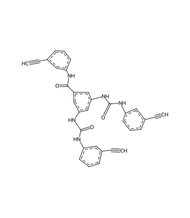 C#Cc1cccc(NC(=O)Nc2cc(NC(=O)Nc3cccc(C#C)c3)cc(C(=O)Nc3cccc(C#C)c3)c2)c1